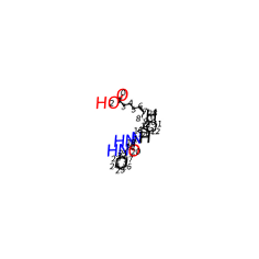 O=C(O)CCC/C=C\C[C@@H]1[C@@H]2CC[C@H](C2)[C@H]1/C=N/NC(=O)Nc1ccccc1